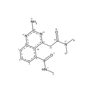 CNC(=O)c1cccc2nc(N)nc(CC(=O)N(C)C)c12